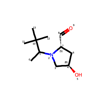 CC(N1C[C@H](O)C[C@H]1C=O)C(C)(C)C